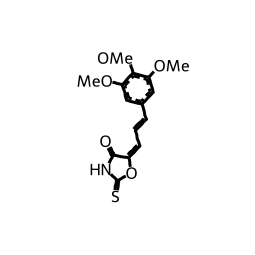 COc1cc(C=CC=C2OC(=S)NC2=O)cc(OC)c1OC